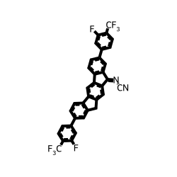 N#C/N=C1/c2cc(-c3ccc(C(F)(F)F)c(F)c3)ccc2-c2cc3c(cc21)Cc1cc(-c2ccc(C(F)(F)F)c(F)c2)ccc1-3